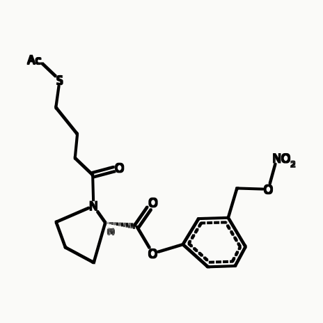 CC(=O)SCCCC(=O)N1CCC[C@H]1C(=O)Oc1cccc(CO[N+](=O)[O-])c1